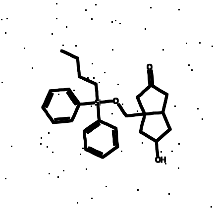 CCCC[Si](OCC12CC(=O)CC1CC(O)C2)(c1ccccc1)c1ccccc1